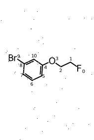 FCCOc1cccc(Br)c1